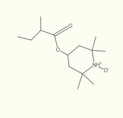 CCC(C)C(=O)OC1CC(C)(C)[NH+]([O-])C(C)(C)C1